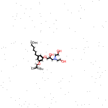 CCCCCCCCCCCCCCCc1cc(OCC(O)CN(CCO)CCO)cc(OCC(CC)CCCC)c1